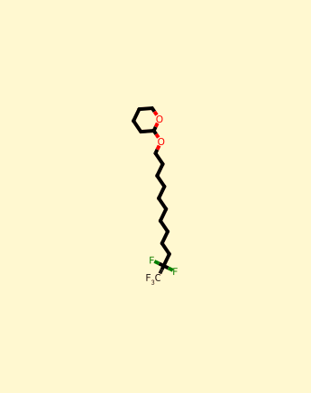 FC(F)(F)C(F)(F)CCCCCCCCCCOC1CCCCO1